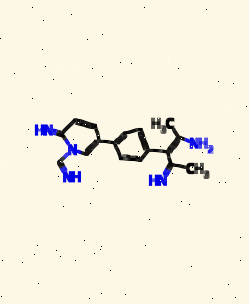 CC(=N)/C(=C(/C)N)c1ccc(-c2ccc(=N)n(C=N)c2)cc1